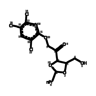 CCCC1OC(CO)C(C(=O)COc2nc(Cl)c(Cl)cc2Cl)O1